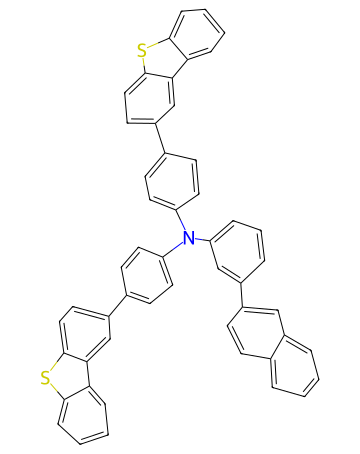 c1cc(-c2ccc3ccccc3c2)cc(N(c2ccc(-c3ccc4sc5ccccc5c4c3)cc2)c2ccc(-c3ccc4sc5ccccc5c4c3)cc2)c1